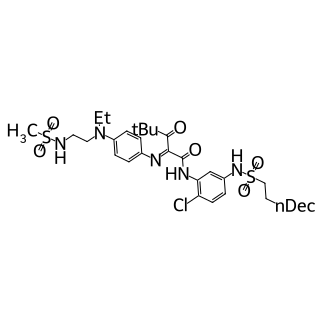 CCCCCCCCCCCCS(=O)(=O)Nc1ccc(Cl)c(NC(=O)C(=Nc2ccc(N(CC)CCNS(C)(=O)=O)cc2)C(=O)C(C)(C)C)c1